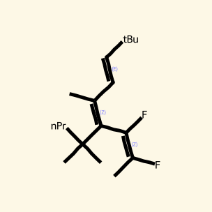 CCCC(C)(C)C(=C(C)/C=C/C(C)(C)C)/C(F)=C(\C)F